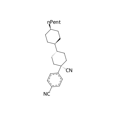 CCCCC[C@H]1CC[C@@H]([C@H]2CC[C@](C#N)(c3ccc(C#N)cc3)CC2)CC1